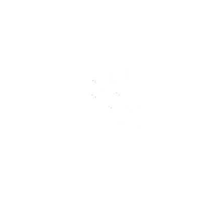 CCCCCc1nc2c(Nc3ccc(Cl)c(Cl)c3)nc3ccccc3c2[nH]1